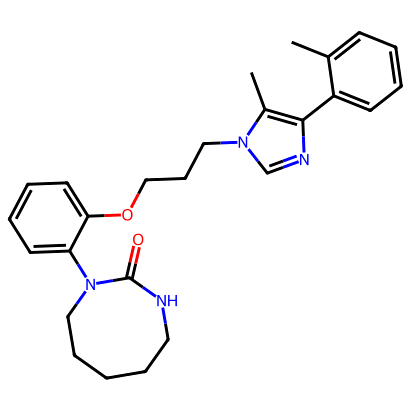 Cc1ccccc1-c1ncn(CCCOc2ccccc2N2CCCCCNC2=O)c1C